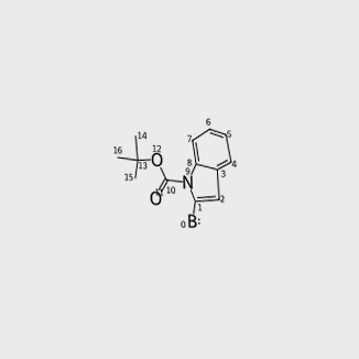 [B]c1cc2ccccc2n1C(=O)OC(C)(C)C